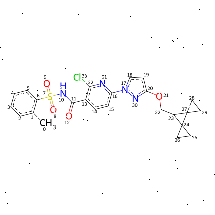 Cc1ccccc1S(=O)(=O)NC(=O)c1ccc(-n2ccc(OCC3C4(CC4)C34CC4)n2)nc1Cl